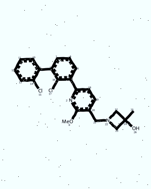 COc1nc(-c2cccc(-c3ccccc3Cl)c2Cl)ccc1CN1CC(C)(O)C1